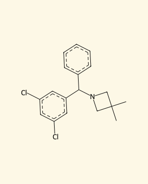 CC1(C)CN(C(c2ccccc2)c2cc(Cl)cc(Cl)c2)C1